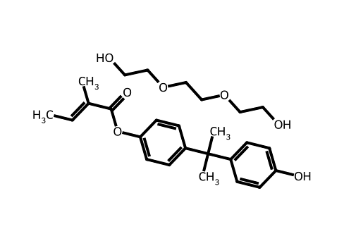 CC=C(C)C(=O)Oc1ccc(C(C)(C)c2ccc(O)cc2)cc1.OCCOCCOCCO